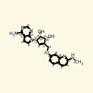 CNc1ccc2ccc(OCC3=C[C@@H](n4ccc5c(N)ncnc54)[C@H](O)[C@@H]3O)cc2n1